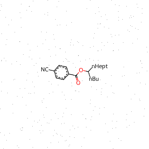 CCCCCCCC(CCCC)OC(=O)c1ccc(C#N)cc1